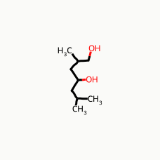 CC(C)CC(O)CC(C)CO